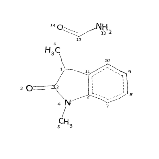 CC1C(=O)N(C)c2ccccc21.NC=O